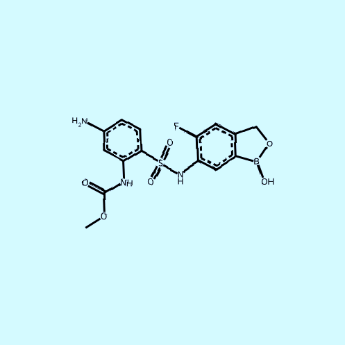 COC(=O)Nc1cc(N)ccc1S(=O)(=O)Nc1cc2c(cc1F)COB2O